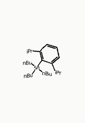 CCC[CH2][Sn]([CH2]CCC)([CH2]CCC)[c]1c(C(C)C)cccc1C(C)C